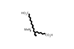 C=CC(CCC=CCCCCCCC(=O)O)CCCCCC(=O)O.CNC